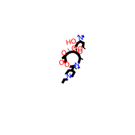 CCCN1CCC([C@]2(C)COC(=O)C(C)(C)C(=O)[C@H](C)[C@@H](O[C@@H]3O[C@H](C)C[C@H](N(C)C)[C@H]3O)[C@](C)(OC)C[C@@H](C)CN2C)CC1